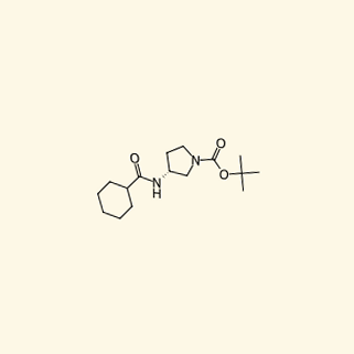 CC(C)(C)OC(=O)N1CC[C@@H](NC(=O)C2CCCCC2)C1